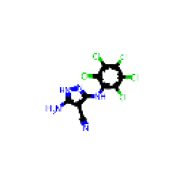 N#Cc1c(Nc2c(Cl)c(Cl)c(Cl)c(Cl)c2Cl)n[nH]c1N